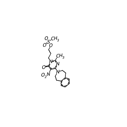 Cc1nc(N2CCc3ccccc3CC2)c([N+](=O)[O-])c(=O)n1CCCOS(C)(=O)=O